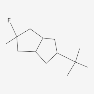 CC1(F)CC2CC(C(C)(C)C)CC2C1